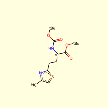 CC(C)(C)OC(=O)N[C@@H](CCc1nc(C#N)cs1)C(=O)OC(C)(C)C